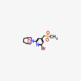 CS(=O)(=O)Cc1cc(Br)nc(N2CC3CCC(C2)O3)c1